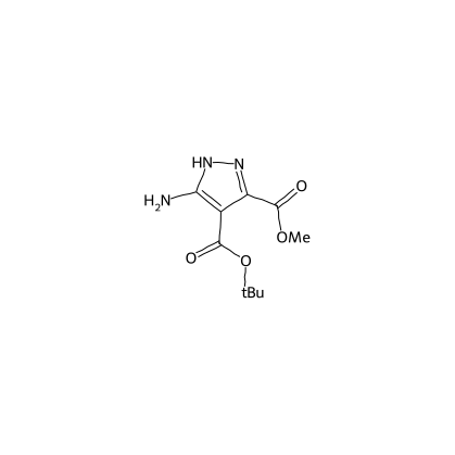 COC(=O)c1n[nH]c(N)c1C(=O)OC(C)(C)C